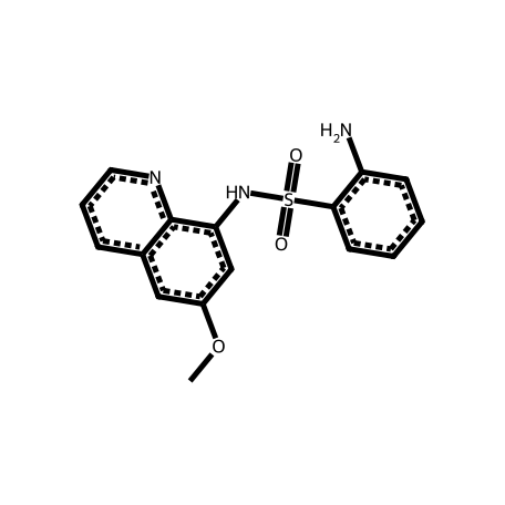 COc1cc(NS(=O)(=O)c2ccccc2N)c2ncccc2c1